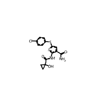 NC(=O)c1cc(Sc2ccc(Cl)cc2)sc1NC(=O)C1(O)CC1